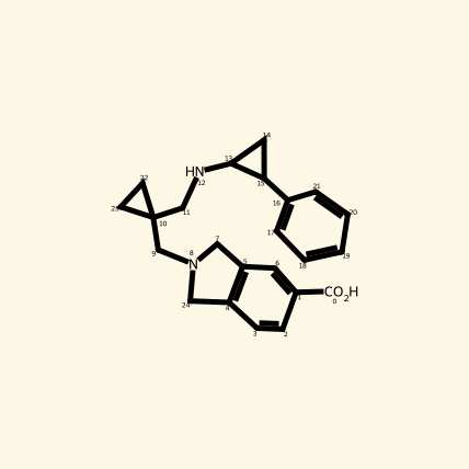 O=C(O)c1ccc2c(c1)CN(CC1(CNC3CC3c3ccccc3)CC1)C2